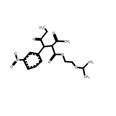 CCC(=O)C(c1cccc([N+](=O)[O-])c1)C(C(C)=O)C(=O)OCCOC(C)C